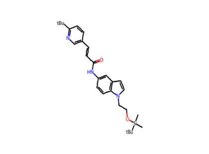 CC(C)(C)c1ccc(C=CC(=O)Nc2ccc3c(ccn3CCO[Si](C)(C)C(C)(C)C)c2)cn1